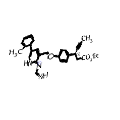 CC#C[C@@H](CC(=O)OCC)c1ccc(OCc2cc(-c3ccccc3C)c[nH]/c2=N\C=N)cc1